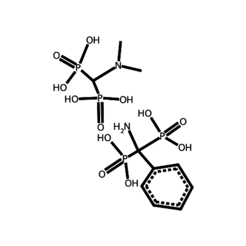 CN(C)C(P(=O)(O)O)P(=O)(O)O.NC(c1ccccc1)(P(=O)(O)O)P(=O)(O)O